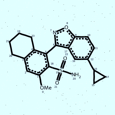 COc1cc2c(c(-c3noc4ccc(C5CC5)cc34)c1S(N)(=O)=O)CCCC2